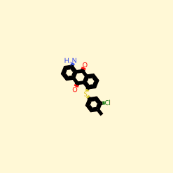 Cc1ccc(Sc2cccc3c2C(=O)c2cccc(N)c2C3=O)cc1Cl